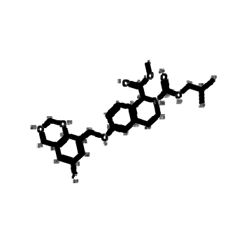 COC(=O)C1c2ccc(OCc3cc(F)cc4c3OCOC4)cc2CCN1C(=O)OCC(C)C